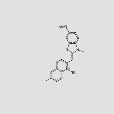 CC[n+]1c(/C=C2\Sc3cc(OC)ccc3N2C)ccc2cc(C)ccc21